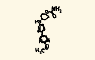 COc1ncc(-c2ccc(N[C@H]3CC[C@H](OC(N)=O)CC3)nc2)cn1